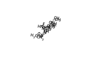 C#Cc1nc2[nH]cc(F)c2cc1Oc1cc(N2CCC3(CC2)CN([C@H]2CCC[C@H]2c2ccccc2C(C)C)C3)ccc1C(=O)NS(=O)(=O)c1cc2c(c([N+](=O)[O-])c1)N[C@@H]([C@H]1CC[C@](C)(O)CC1)CO2